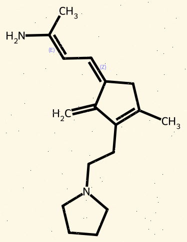 C=C1C(CCN2CCCC2)=C(C)C/C1=C/C=C(\C)N